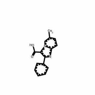 Cc1ccc2nc(-c3ccccc3)c(C(=O)O)n2c1